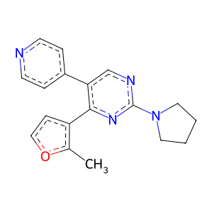 Cc1occc1-c1nc(N2CCCC2)ncc1-c1ccncc1